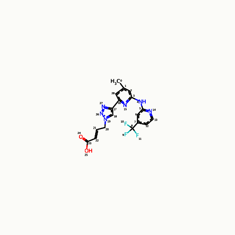 Cc1cc(Nc2cc(C(F)(F)F)ccn2)nc(-c2cn(C/C=C/C(=O)O)nn2)c1